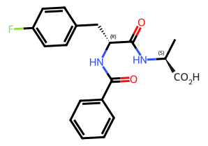 C[C@H](NC(=O)[C@@H](Cc1ccc(F)cc1)NC(=O)c1ccccc1)C(=O)O